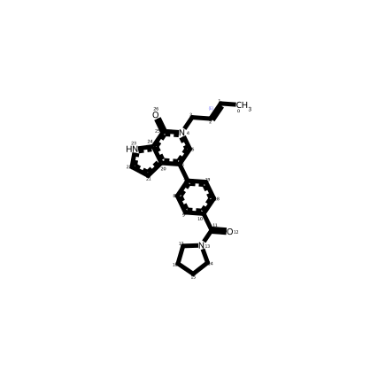 C/C=C/Cn1cc(-c2ccc(C(=O)N3CCCC3)cc2)c2cc[nH]c2c1=O